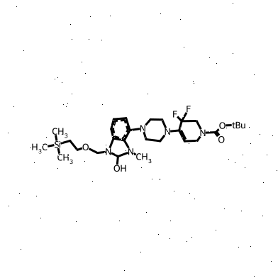 CN1c2c(N3CCN(C4=CCN(C(=O)OC(C)(C)C)CC4(F)F)CC3)cccc2N(COCC[Si](C)(C)C)C1O